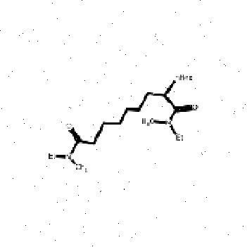 CCCCCCC(CCCCCCC(=O)N(C)CC)C(=O)N(C)CC